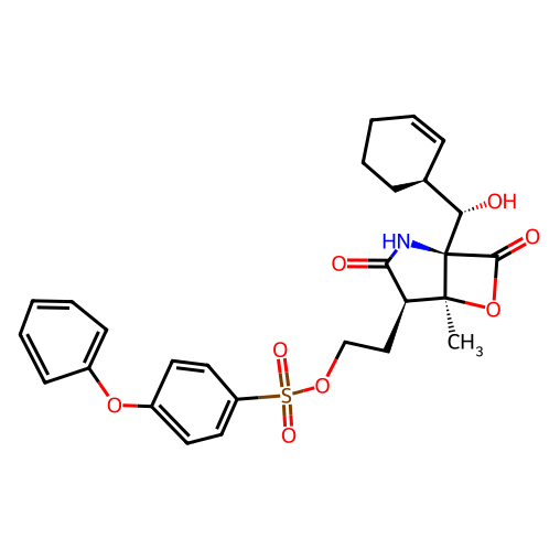 C[C@@]12OC(=O)[C@]1([C@@H](O)[C@@H]1C=CCCC1)NC(=O)[C@@H]2CCOS(=O)(=O)c1ccc(Oc2ccccc2)cc1